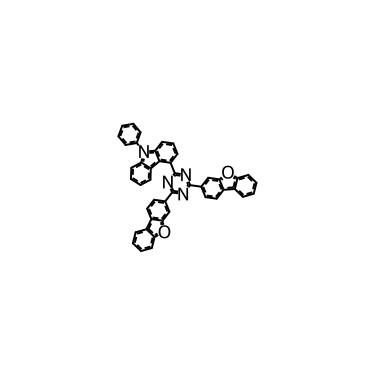 c1ccc(-n2c3ccccc3c3c(-c4nc(-c5ccc6c(c5)oc5ccccc56)nc(-c5ccc6c(c5)oc5ccccc56)n4)cccc32)cc1